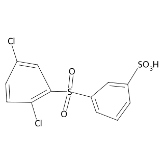 O=S(=O)(O)c1cccc(S(=O)(=O)c2cc(Cl)ccc2Cl)c1